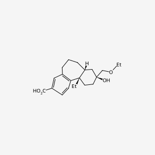 CCOC[C@]1(O)CC[C@]2(CC)c3ccc(C(=O)O)cc3CCC[C@@H]2C1